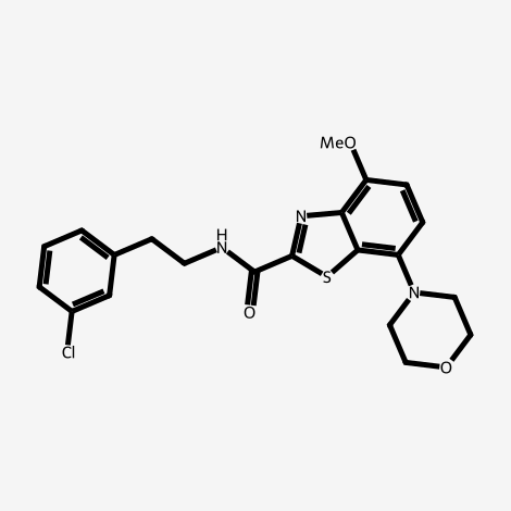 COc1ccc(N2CCOCC2)c2sc(C(=O)NCCc3cccc(Cl)c3)nc12